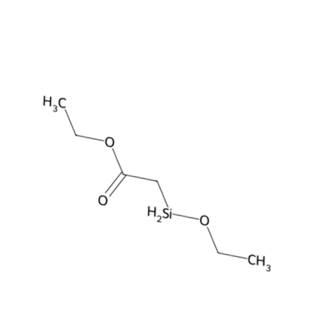 CCO[SiH2]CC(=O)OCC